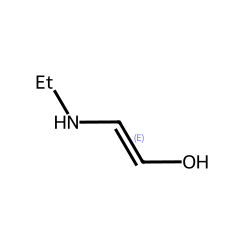 CCN/C=C/O